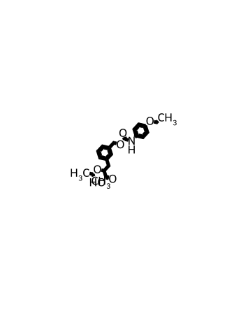 CCOc1ccc(NC(=O)OCc2cccc(CC(OC(C)C)C(=O)O)c2)cc1